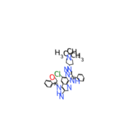 CC(C)(C)N1CCC(n2cc([C@@H](Nc3cc(Cl)cc4c(N[C@@H]5CCOc6ccccc65)c(C#N)cnc34)c3ccccc3)nn2)CC1